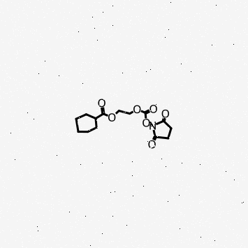 O=C(OCCOC(=O)C1CCCCC1)ON1C(=O)CCC1=O